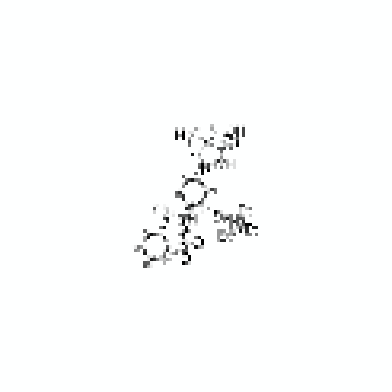 CC1(CO)CN(c2ccc(NC(=O)c3ccccc3S(=O)(=O)[O-])cc2)NC1=O.CC[N+](CC)(CC)CC